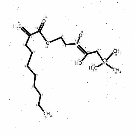 C=C(CCCCCCCC)C(=O)OCC[P+]([O-])=C(O)C[N+](C)(C)C